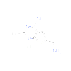 Cc1nc(N)c2cc(CN)sc2n1.Cl